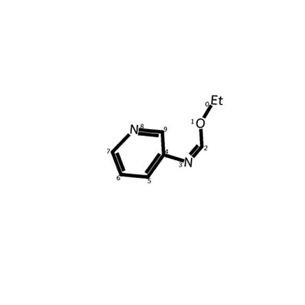 CCO/C=N\c1cccnc1